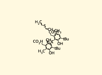 C=CSC=C.Cc1cc(C(C)(C)C)c(O)c(C)c1CC(=O)O.Cc1cc(C(C)(C)C)c(O)c(C)c1CC(=O)O